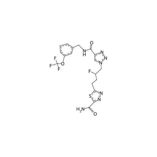 NC(=O)c1nnc(CCC(F)Cn2cc(C(=O)NCc3cccc(OC(F)(F)F)c3)nn2)s1